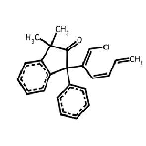 C=C/C=C\C(=C/Cl)C1(c2ccccc2)C(=O)C(C)(C)c2ccccc21